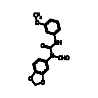 O=CN(C(=O)Nc1cccc(OC(F)(F)F)c1)c1ccc2c(c1)OCO2